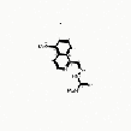 CNC(=S)N/N=C\c1nccc2c(NC)cccc12